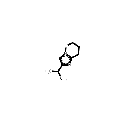 CC(C)c1cn2c(n1)CCCO2